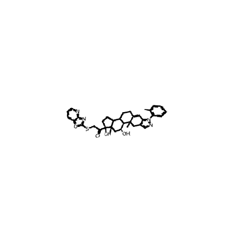 Cc1ccccc1-n1ncc2c1C=C1CCC3C([C@@H](O)CC4(C)C3CCC4(O)C(=O)CSc3nc4ncccc4o3)C1(C)C2